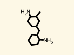 CC1CC(CC2CCCCC2N)CCC1N